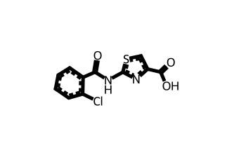 O=C(O)c1csc(NC(=O)c2ccccc2Cl)n1